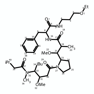 CCOCCCNC(=O)C(Cc1ccccc1)NC(=O)C(C)C(OC)C1CCCN1C(=O)CC(OC)C(C(C)CC)N(C)C(=O)CC(C)C